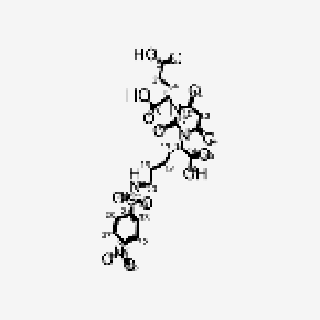 O=C(O)CC[C@@H](C(=O)O)N1C(=O)CC(=O)N([C@@H](CCCCNS(=O)(=O)c2ccc([N+](=O)[O-])cc2)C(=O)O)C1=O